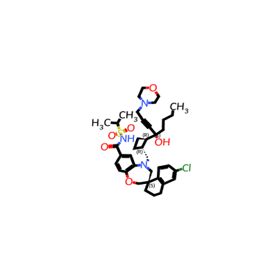 CCCC[C@@](O)(C#CCN1CCOCC1)[C@@H]1CC[C@H]1CN1C[C@@]2(CCCc3cc(Cl)ccc32)COc2ccc(C(=O)NS(=O)(=O)C(C)C)cc21